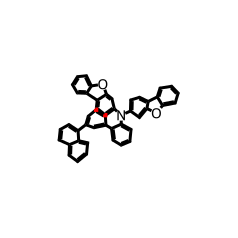 c1cc(-c2ccccc2N(c2ccc3c(c2)oc2ccccc23)c2ccc3c(c2)oc2ccccc23)cc(-c2cccc3ccccc23)c1